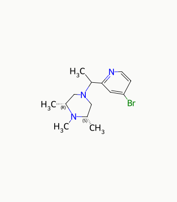 CC(c1cc(Br)ccn1)N1C[C@@H](C)N(C)[C@@H](C)C1